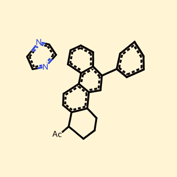 CC(=O)C1CCCc2c1ccc1c2cc(-c2ccccc2)c2ccccc21.c1cnccn1